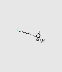 Cc1ccc(S(=O)(=O)O)c(CCCCCCCCCF)c1